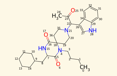 CCCCN1C(=O)C(CC2CCCCC2)NC(=O)C12CCN(C(C(C)=O)c1c[nH]c3ccccc13)CC2